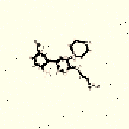 COCCOc1nnc(-c2cc(N)ccc2C)cc1N1CCOCC1